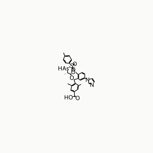 Cc1ccc(S(=O)(=O)[AsH][C@@H](C)C(=O)OC(c2cc(-n3ccnc3)ccc2C)c2c(C)cc(C(=O)O)cc2C)cc1